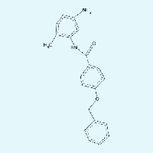 Cc1ccc(N)cc1NC(=O)c1ccc(OCc2ccccc2)cc1